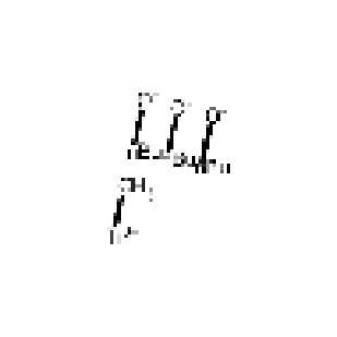 CCCC[O-].CCCC[O-].CCCC[O-].[CH3][Ti+3]